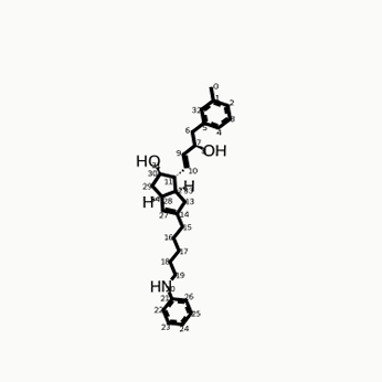 Cc1cccc(C[C@@H](O)/C=C/[C@@H]2[C@H]3CC(CCCCCNc4ccccc4)=C[C@H]3C[C@H]2O)c1